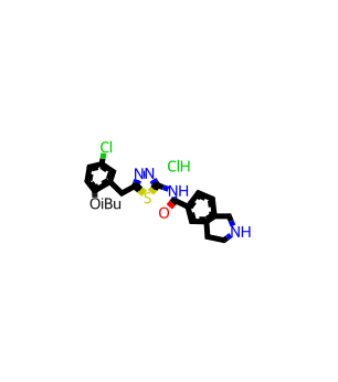 CC(C)COc1ccc(Cl)cc1Cc1nnc(NC(=O)c2ccc3c(c2)CCNC3)s1.Cl